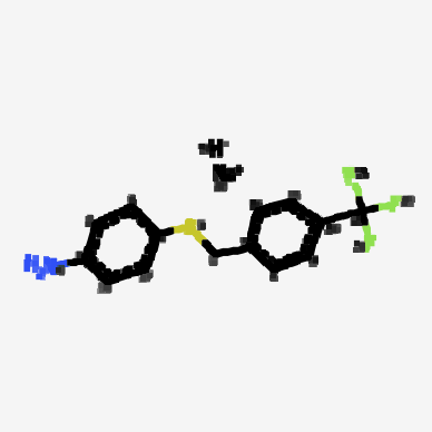 Nc1ccc(SCc2ccc(C(F)(F)F)cc2)cc1.[H-].[Na+]